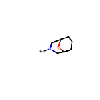 CC(C)(C)N1CC2CCCC(C1)O2